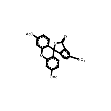 CC(=O)Oc1ccc2c(c1)Oc1cc(OC(C)=O)ccc1C21OC(=O)c2cc([N+](=O)[O-])ccc21